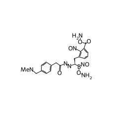 CNCc1ccc(CC(=O)N=N[C@@H](Cc2cccc(C(=O)ON)c2N=O)B(N=O)ON)cc1